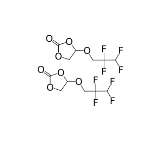 O=C1OCC(OCC(F)(F)C(F)F)O1.O=C1OCC(OCC(F)(F)C(F)F)O1